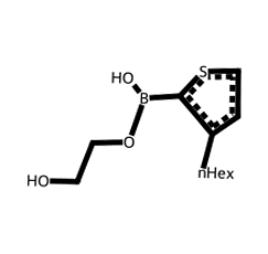 CCCCCCc1ccsc1B(O)OCCO